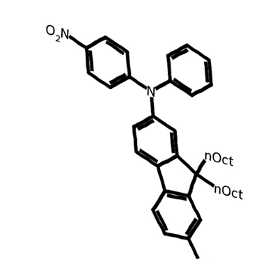 CCCCCCCCc1ccc2c(c1)C(CCCCCCCC)(CCCCCCCC)c1cc(N(c3ccccc3)c3ccc([N+](=O)[O-])cc3)ccc1-2